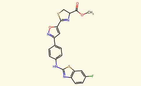 COC(=O)C1CSC(c2cc(-c3ccc(Nc4nc5ccc(F)cc5s4)cc3)no2)=N1